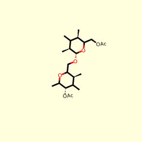 CC(=O)OCC1O[C@H](OCC2OC(C)[C@@H](OC(C)=O)C(C)[C@@H]2C)[C@@H](C)C(C)[C@H]1C